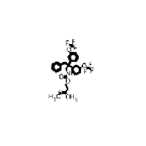 COC(C)CCOC(=O)NCC(Cc1ccccc1)(c1cccc(OC(F)(F)F)c1)c1cccc(OC(F)(F)F)c1